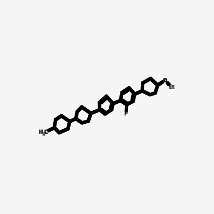 CCOC1CCC(c2ccc(-c3ccc(C4CCC(C5CCC(C)CC5)CC4)cc3)c(F)c2)CC1